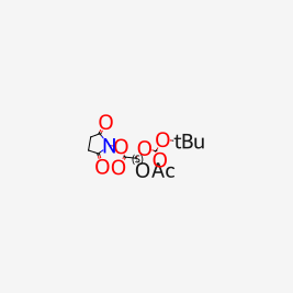 CC(=O)O[C@@H](OC(=O)OC(C)(C)C)C(=O)ON1C(=O)CCC1=O